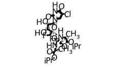 CC(C)OC(=O)[C@H](C)NP(=S)(N[C@@H](C)C(=O)OC(C)C)OC[C@@]1(C(F)F)O[C@@H](n2cc(Cl)c(=O)[nH]c2=O)[C@@H](O)[C@@H]1O